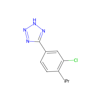 CC(C)c1ccc(-c2nn[nH]n2)cc1Cl